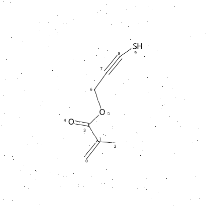 C=C(C)C(=O)OCC#CS